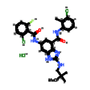 COC(C)(C)CNc1nc2c(C(=O)Nc3cccc(Cl)c3C)cc(NC(=O)c3c(F)cccc3Cl)cc2[nH]1.Cl